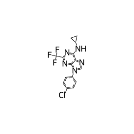 FC(F)(F)c1nc(NC2CC2)c2ncn(-c3ccc(Cl)cc3)c2n1